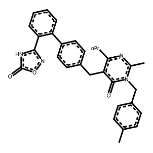 CCCc1nc(C)n(Cc2ccc(C)cc2)c(=O)c1Cc1ccc(-c2ccccc2-c2noc(=O)[nH]2)cc1